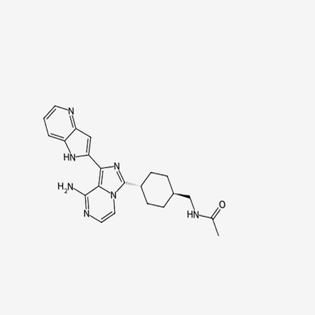 CC(=O)NC[C@H]1CC[C@H](c2nc(-c3cc4ncccc4[nH]3)c3c(N)nccn32)CC1